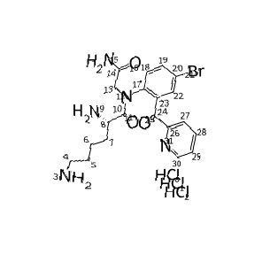 Cl.Cl.Cl.NCCCC[C@H](N)C(=O)N(CC(N)=O)c1ccc(Br)cc1C(=O)c1ccccn1